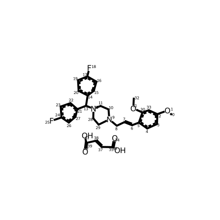 COc1ccc(/C=C/CN2CCN(C(c3ccc(F)cc3)c3ccc(F)cc3)CC2)c(OC)c1.O=C(O)/C=C/C(=O)O